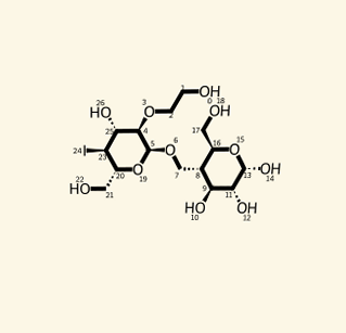 OCCO[C@H]1[C@@H](OC[C@H]2[C@H](O)[C@@H](O)[C@@H](O)O[C@@H]2CO)O[C@H](CO)[C@@H](I)[C@@H]1O